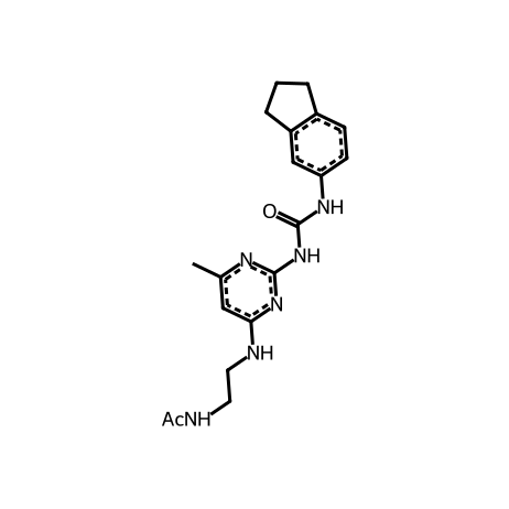 CC(=O)NCCNc1cc(C)nc(NC(=O)Nc2ccc3c(c2)CCC3)n1